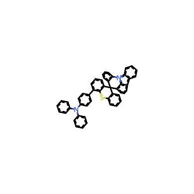 c1ccc(N(c2ccccc2)c2ccc(-c3cccc4c3Sc3ccccc3C43c4ccccc4-n4c5ccccc5c5cccc3c54)cc2)cc1